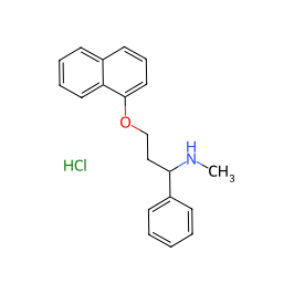 CNC(CCOc1cccc2ccccc12)c1ccccc1.Cl